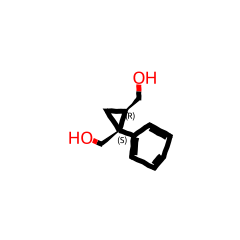 OC[C@@H]1C[C@@]1(CO)c1ccccc1